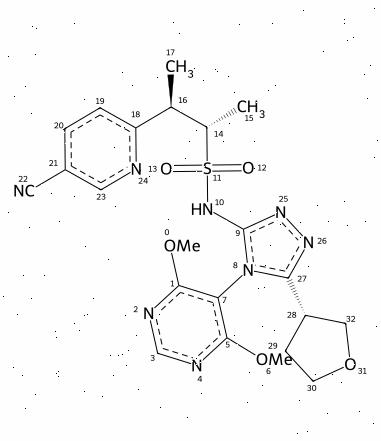 COc1ncnc(OC)c1-n1c(NS(=O)(=O)[C@@H](C)[C@H](C)c2ccc(C#N)cn2)nnc1[C@H]1CCOC1